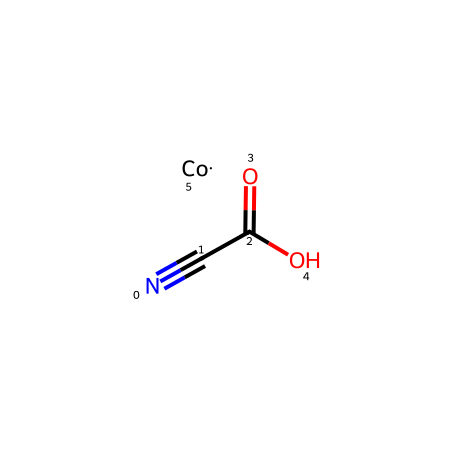 N#CC(=O)O.[Co]